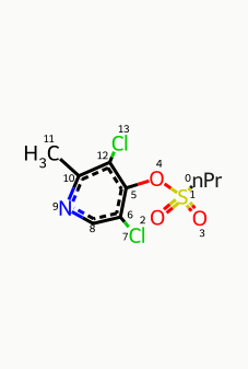 CCCS(=O)(=O)Oc1c(Cl)cnc(C)c1Cl